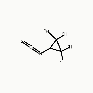 [2H]C1([2H])C(N=C=S)C1([2H])[2H]